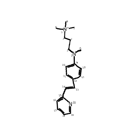 CN(CCC[N+](C)(C)C)c1ccc(/C=C/c2ccccn2)cc1